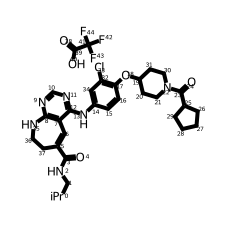 CC(C)CNC(=O)C1=Cc2c(ncnc2Nc2ccc(OC3CCN(C(=O)C4CCCC4)CC3)c(Cl)c2)NCC1.O=C(O)C(F)(F)F